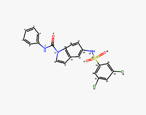 O=C(Nc1ccccc1)n1ccc2cc(NS(=O)(=O)c3cc(Cl)cc(Cl)c3)ccc21